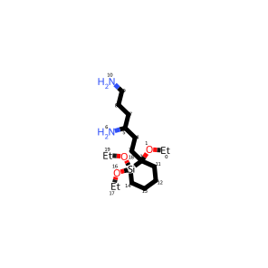 CCOC1(CCC(N)CCCN)CCCC[Si]1(OCC)OCC